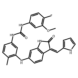 COc1cc(NC(=O)Nc2ccc(C)c(Nc3ccc4c(c3)NC(=O)/C4=C\c3ccc[nH]3)c2)ccc1F